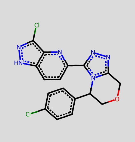 Clc1ccc(C2COCc3nnc(-c4ccc5[nH]nc(Cl)c5n4)n32)cc1